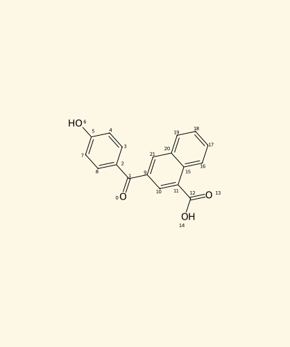 O=C(c1ccc(O)cc1)c1cc(C(=O)O)c2ccccc2c1